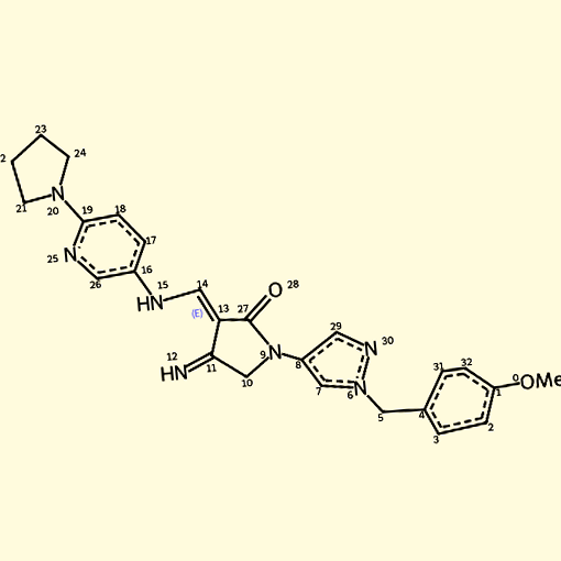 COc1ccc(Cn2cc(N3CC(=N)/C(=C\Nc4ccc(N5CCCC5)nc4)C3=O)cn2)cc1